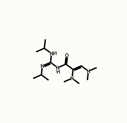 CC(C)N=C(NC(=O)C(=CN(C)C)N(C)C)NC(C)C